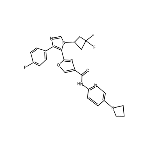 O=C(Nc1ccc(N2CCC2)cn1)c1coc(-c2c(-c3ccc(F)cc3)ncn2C2CC(F)(F)C2)n1